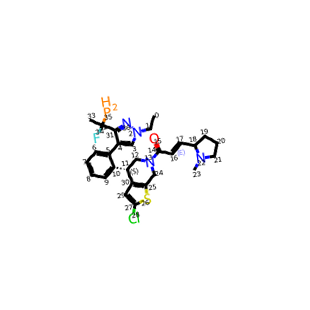 CCn1cc(-c2ccccc2[C@@H]2CN(C(=O)/C=C/C3CCCN3C)Cc3sc(Cl)cc32)c(C(C)(F)P)n1